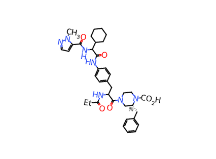 CCC(=O)NC(Cc1ccc(NC(=O)C(NC(=O)c2ccnn2C)C2CCCCC2)cc1)C(=O)N1CCN(C(=O)O)[C@H](Cc2ccccc2)C1